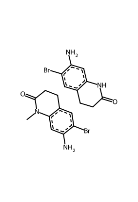 CN1C(=O)CCc2cc(Br)c(N)cc21.Nc1cc2c(cc1Br)CCC(=O)N2